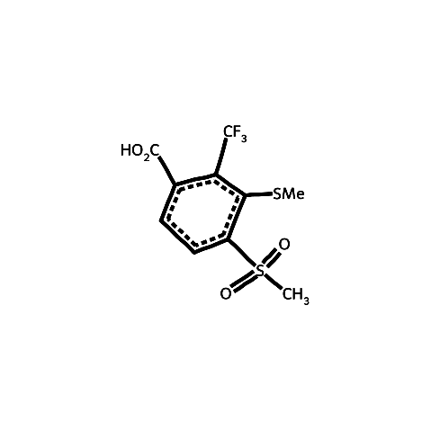 CSc1c(S(C)(=O)=O)ccc(C(=O)O)c1C(F)(F)F